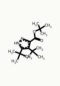 CC(C)(C)OC(=O)c1n[nH]c(C(C)(C)C)c1C(C)(C)C